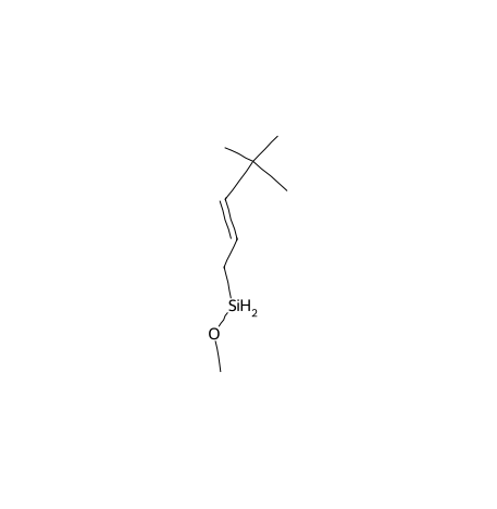 CO[SiH2]CC=CC(C)(C)C